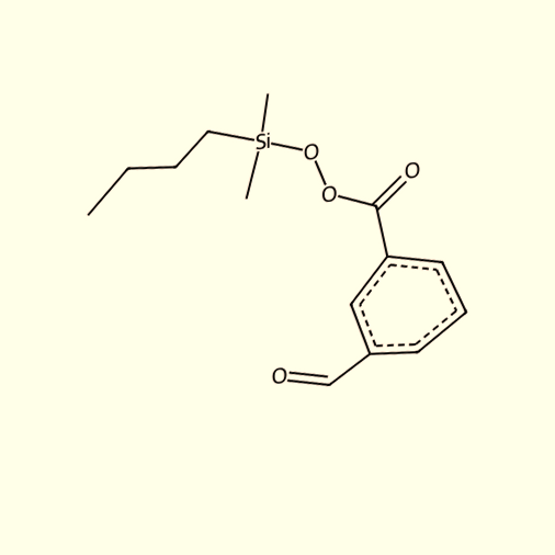 CCCC[Si](C)(C)OOC(=O)c1cccc(C=O)c1